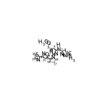 COCc1cc(Nc2cc(C)[nH]n2)nc(N2CCCC2c2cc(-c3nccs3)no2)n1